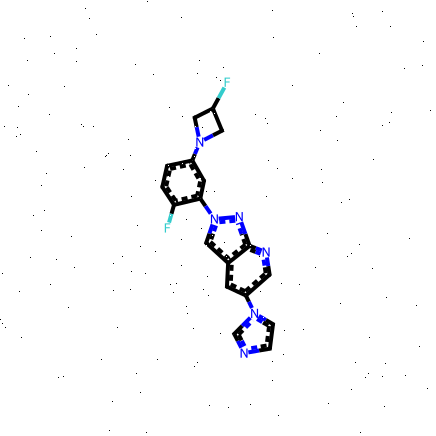 Fc1ccc(N2CC(F)C2)cc1-n1cc2cc(-n3ccnc3)cnc2n1